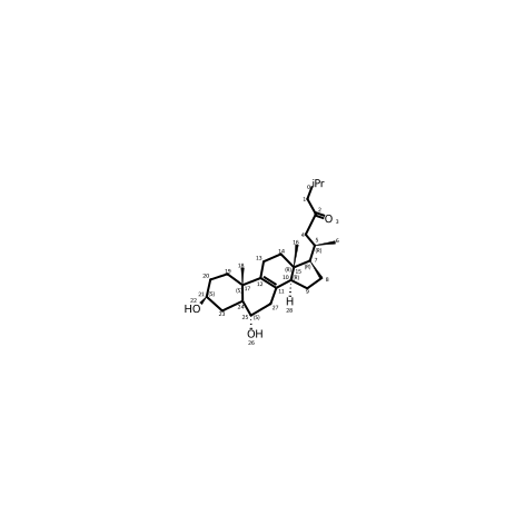 CC(C)CC(=O)C[C@@H](C)[C@H]1CC[C@H]2C3=C(CC[C@]12C)[C@@]1(C)CC[C@H](O)CC1[C@@H](O)C3